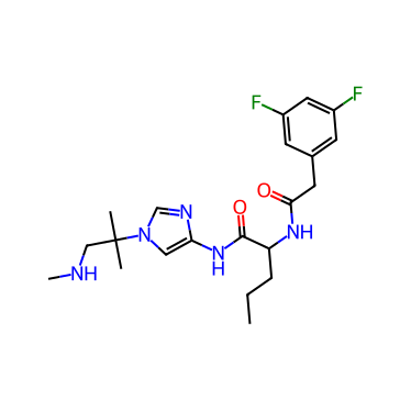 CCCC(NC(=O)Cc1cc(F)cc(F)c1)C(=O)Nc1cn(C(C)(C)CNC)cn1